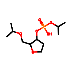 CC(C)OCC1OCCC1OP(=O)(O)OC(C)C